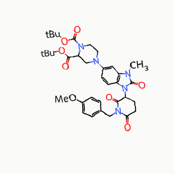 COc1ccc(CN2C(=O)CCC(n3c(=O)n(C)c4cc(N5CCN(C(=O)OC(C)(C)C)C(C(=O)OC(C)(C)C)C5)ccc43)C2=O)cc1